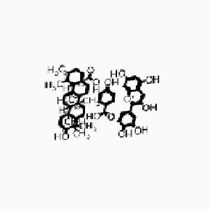 C[C@H]1[C@H](C)CC[C@]2(C(=O)O)CC[C@]3(C)C(=CC[C@@H]4[C@@]5(C)CC[C@H](O)C(C)(C)[C@@H]5CC[C@]43C)[C@H]12.O=C(O)c1ccc(O)cc1.Oc1cc(O)c2cc(O)c(-c3ccc(O)c(O)c3)[o+]c2c1